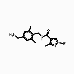 Cc1cc(CN)cc(C)c1CNC(=O)c1cn(C(C)C)nc1C